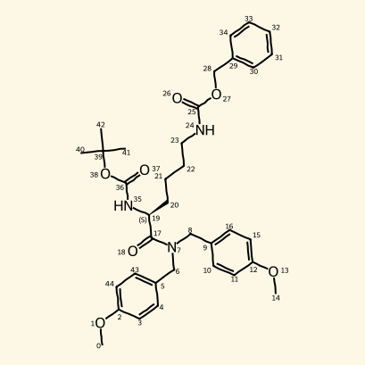 COc1ccc(CN(Cc2ccc(OC)cc2)C(=O)[C@H](CCCCNC(=O)OCc2ccccc2)NC(=O)OC(C)(C)C)cc1